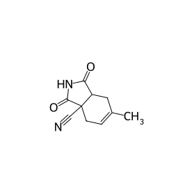 CC1=CCC2(C#N)C(=O)NC(=O)C2C1